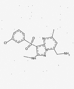 CNc1nn2c(CN)cc(C)nc2c1S(=O)(=O)c1cccc(Cl)c1